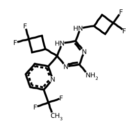 CC(F)(F)c1cccc(C2(C3CC(F)(F)C3)N=C(N)N=C(NC3CC(F)(F)C3)N2)n1